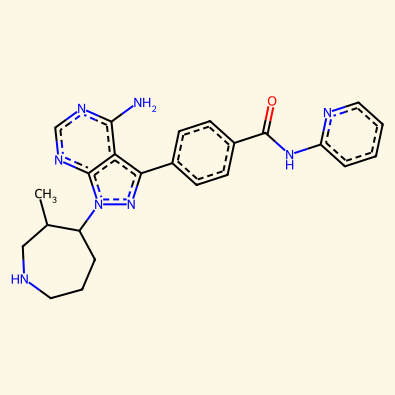 CC1CNCCCC1n1nc(-c2ccc(C(=O)Nc3ccccn3)cc2)c2c(N)ncnc21